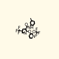 Cc1cccc(NC(=O)c2cc(C(F)(F)F)cnc2Oc2cccnc2OC(F)(F)F)c1